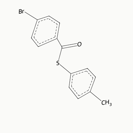 Cc1ccc(SC(=O)c2ccc(Br)cc2)cc1